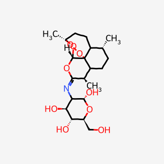 C[C@@H]1CCC2[C@@H](C)/C(=N\C3[C@H](O)O[C@@H](CO)[C@H](O)[C@H]3O)O[C@@H]3O[C@]4(C)CCC1C23OO4